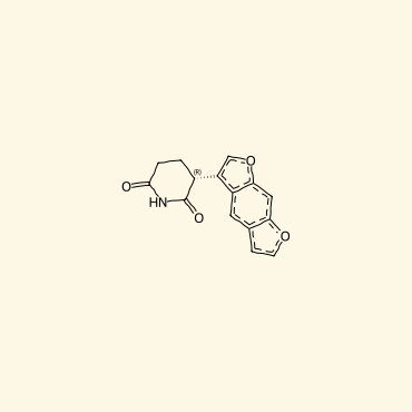 O=C1CC[C@H](c2coc3cc4occc4cc23)C(=O)N1